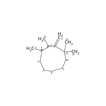 C=C1P(C)P(C)CCCCCC1(C)C